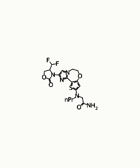 CCCN(CC(N)=O)c1cc2c(s1)-c1nc(N3C(=O)OCC3C(F)F)cn1CCO2